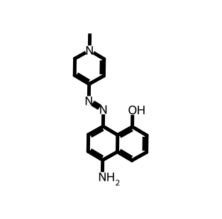 CN1C=CC(N=Nc2ccc(N)c3cccc(O)c23)=CC1